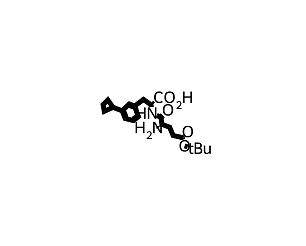 CC(C)(C)OC(=O)CC[C@H](N)C(=O)N[C@@H](Cc1cccc(C2CCC2)c1)C(=O)O